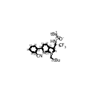 CC(C)(C)Cn1cc([C@H](N[S@@+]([O-])C(C)(C)C)C(F)(F)F)c2ccc(-c3ccccc3C#N)nc21